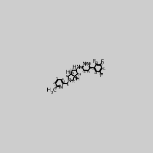 Cc1cccc(CN2C[C@H]3C[C@@H](Nc4ccc(-c5cc(F)cc(F)c5F)nn4)C[C@H]3C2)n1